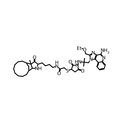 CCOCc1nc2c(N)nc3ccccc3c2n1CC(C)(C)NN1C(=O)CC(SCC(=O)NCCCCC2NC3C4CCCCCCCCC(C4)C3(C)C2=O)C1=O